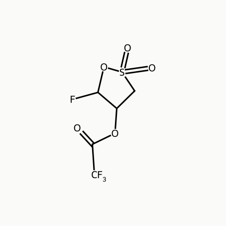 O=C(OC1CS(=O)(=O)OC1F)C(F)(F)F